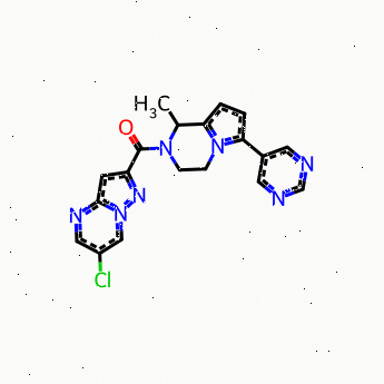 CC1c2ccc(-c3cncnc3)n2CCN1C(=O)c1cc2ncc(Cl)cn2n1